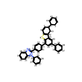 C1=CCC(C2C=Cc3sc4c(-c5ccc(-c6nc7ccccc7n6-c6ccccc6)cc5)cc(-c5ccccc5)cc4c3C2)C=C1